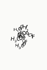 COc1ccc([C@H]2Sc3cc(Oc4ccc(F)cc4)ccc3N(CCN(C)C)C(=O)[C@H]2OC(C)=O)cc1F